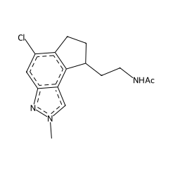 CC(=O)NCCC1CCc2c(Cl)cc3nn(C)cc3c21